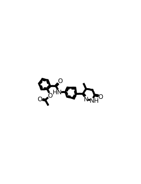 CC(=O)Oc1ccccc1C(=O)Nc1ccc(C2=NNC(=O)CC2C)cc1